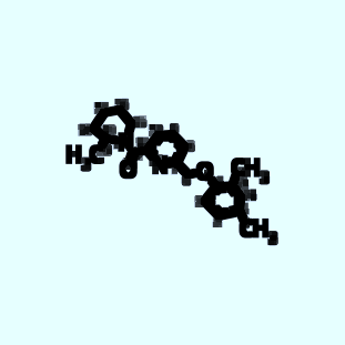 Cc1ccc(OCc2cccc(C(=O)N3CCCCC3C)n2)c(C)c1